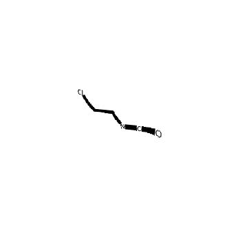 O=C=N[CH]CCl